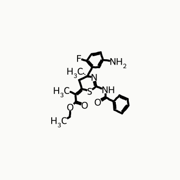 CCOC(=O)/C(C)=C1/C[C@@](C)(c2cc(N)ccc2F)N=C(NC(=O)c2ccccc2)S1